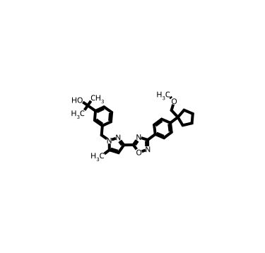 COCC1(c2ccc(-c3noc(-c4cc(C)n(Cc5cccc(C(C)(C)O)c5)n4)n3)cc2)CCCC1